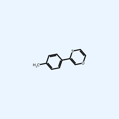 Cc1ccc(C2=COC=CS2)cc1